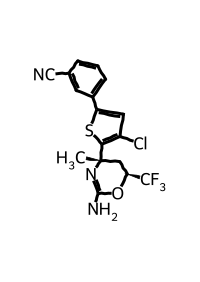 C[C@@]1(c2sc(-c3cccc(C#N)c3)cc2Cl)C[C@@H](C(F)(F)F)OC(N)=N1